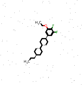 CCC[C@H]1CC[C@H]([C@H]2CC[C@H](c3cc(F)c(F)c(OCC)c3)CC2)CC1